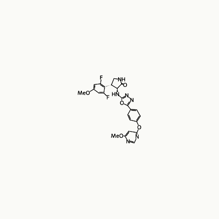 COc1cc(F)c([C@@H]2CNC(=O)[C@H]2Nc2nnc(-c3ccc(Oc4cc(OC)ncn4)cc3)o2)c(F)c1